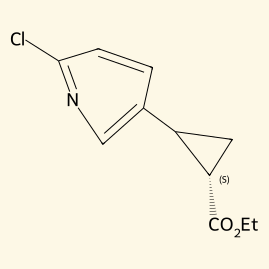 CCOC(=O)[C@H]1CC1c1ccc(Cl)nc1